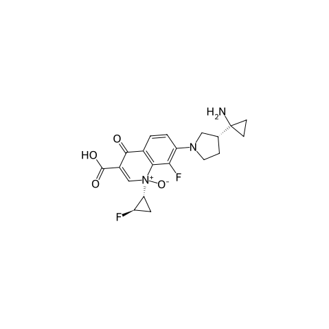 NC1([C@@H]2CCN(c3ccc4c(c3F)[N+]([O-])([C@@H]3C[C@H]3F)C=C(C(=O)O)C4=O)C2)CC1